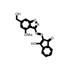 COc1cc(CO)cc2onc(N=NC3=C(O)c4ccccc4C3=O)c12